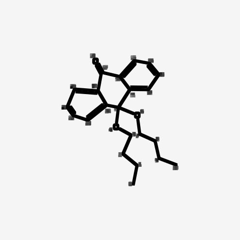 CCCCOC1(OCCCC)c2ccccc2C(=O)c2ccccc21